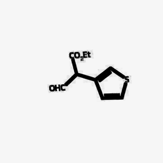 CCOC(=O)C(C=O)c1ccsc1